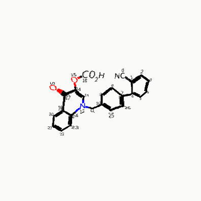 N#Cc1ccccc1-c1ccc(Cn2cc(OC(=O)O)c(=O)c3ccccc32)cc1